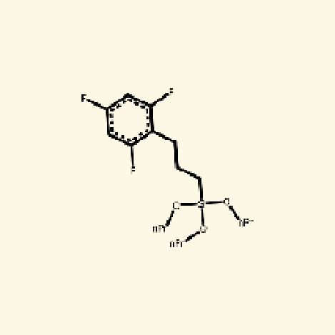 CCCO[Si](CCCc1c(F)cc(F)cc1F)(OCCC)OCCC